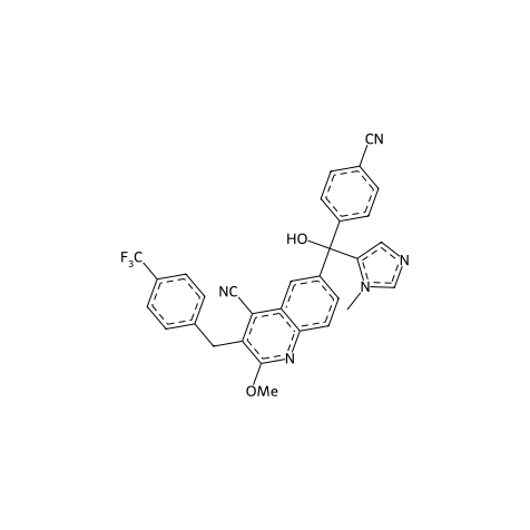 COc1nc2ccc(C(O)(c3ccc(C#N)cc3)c3cncn3C)cc2c(C#N)c1Cc1ccc(C(F)(F)F)cc1